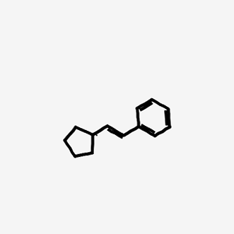 C(=Cc1ccccc1)[C]1CCCC1